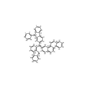 c1ccc(-n2c3ccccc3c3ccc(N(c4ccc5ccc6c7ccccc7ccc6c5c4)c4cccc5c4sc4ccccc45)cc32)cc1